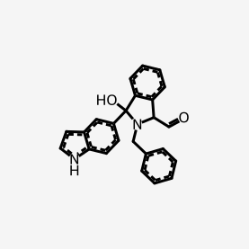 O=CC1c2ccccc2C(O)(c2ccc3[nH]ccc3c2)N1Cc1ccccc1